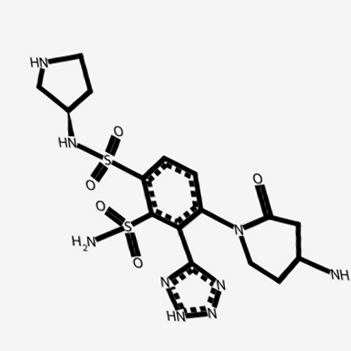 NC1CCN(c2ccc(S(=O)(=O)N[C@@H]3CCNC3)c(S(N)(=O)=O)c2-c2nn[nH]n2)C(=O)C1